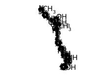 Cc1ncsc1-c1ccc(CNC(=O)[C@@H]2C[C@@H](O)CN2C(=O)C(c2cc(OCCCN3CCC(c4cnc(N5CCN6c7cc(-c8ccccc8O)nnc7NC[C@H]6C5)nc4)CC3)no2)C(C)C)cc1